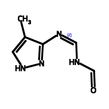 Cc1c[nH]nc1/N=C\NC=O